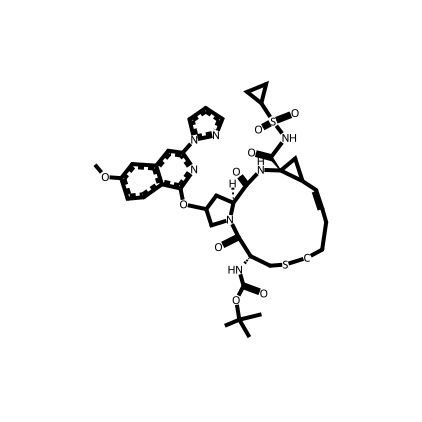 COc1ccc2c(OC3C[C@H]4C(=O)N[C@]5(C(=O)NS(=O)(=O)C6CC6)CC5/C=C\CCCSC[C@H](NC(=O)OC(C)(C)C)C(=O)N4C3)nc(-n3cccn3)cc2c1